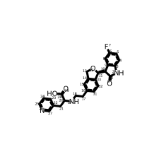 O=C1Nc2ccc(F)cc2C1=C1OCc2cc(CCNC(Cc3cccnc3)C(=O)O)ccc21